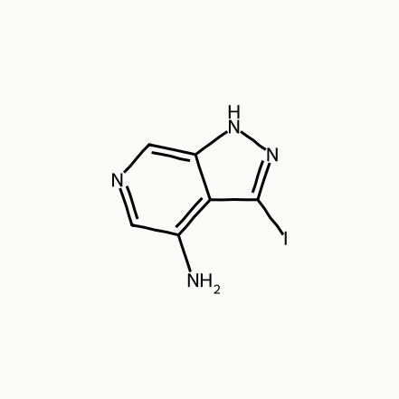 Nc1cncc2[nH]nc(I)c12